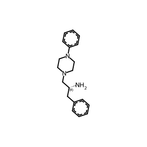 N[C@H](Cc1ccccc1)CN1CCN(c2ccccc2)CC1